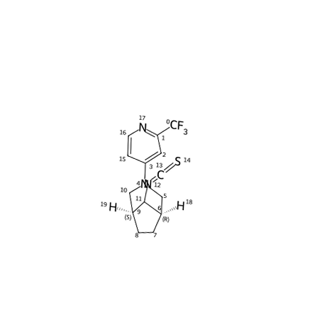 FC(F)(F)c1cc(N2C[C@H]3CC[C@@H](C2)C3N=C=S)ccn1